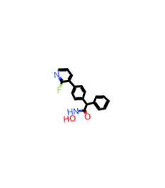 O=C(NO)C(c1ccccc1)c1ccc(-c2cccnc2F)cc1